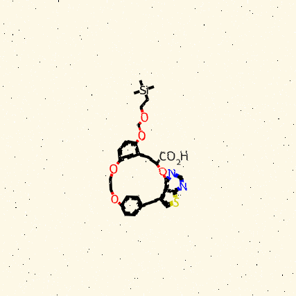 C[Si](C)(C)CCOCOc1ccc2cc1CC(C(=O)O)Oc1ncnc3scc(c13)-c1ccc(cc1)OCCO2